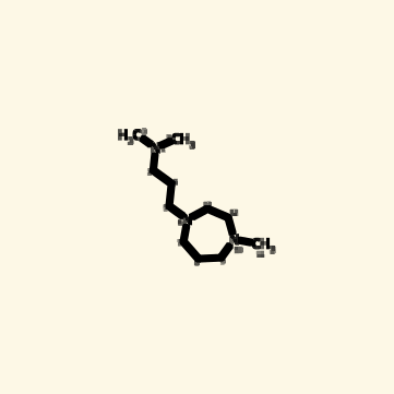 CN(C)CCCN1CCCN(C)CC1